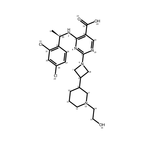 C[C@@H](Nc1nc(N2CC(C3CCCN(CCO)C3)C2)ncc1C(=O)O)c1ccc(Cl)cc1Cl